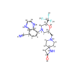 N#Cc1ccc(N2C[C@H](CN3CCC4(CC3)CC(=O)N4)O[C@H](C(F)(F)F)C2)c2nccnc12